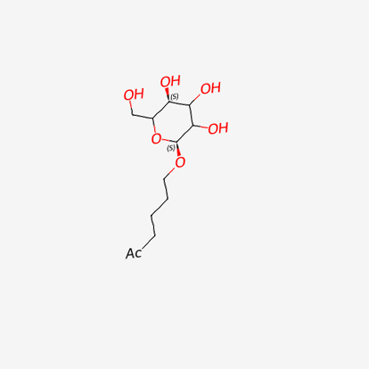 CC(=O)CCCCO[C@H]1OC(CO)[C@@H](O)C(O)C1O